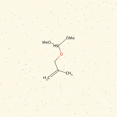 C=C(C)CO[SiH](OC)OC